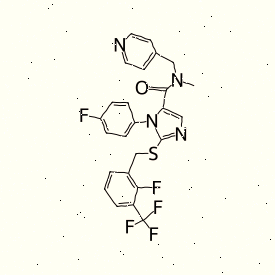 CN(Cc1ccncc1)C(=O)c1cnc(SCc2cccc(C(F)(F)F)c2F)n1-c1ccc(F)cc1